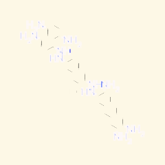 Cc1cc2cc(NNc3ccc(N)c4c(N)ccc(N)c34)c(C)cc2cc1NNc1cc2cc3cc(N)c(N)cc3cc2cc1N